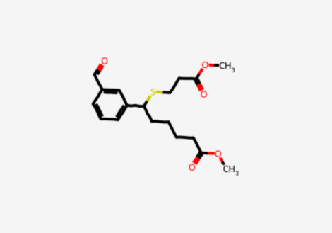 COC(=O)CCCCC(SCCC(=O)OC)c1cccc(C=O)c1